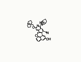 N#Cc1cc2c(N3CC4CCC(C3)N4)nc(OCC34CCCN3CCC4)cc2c(F)c1-c1cc(O)cc2cccc(Cl)c12